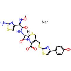 CO/N=C(\C(=O)N[C@@H]1C(=O)N2C(C(=O)[O-])=C(CSc3nc(-c4ccc(O)cc4)cs3)CS[C@H]12)c1csc(N)n1.[Na+]